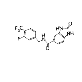 O=C(NCc1ccc(C(F)(F)F)c(F)c1)c1ccc2[nH]c(=O)[nH]c2c1